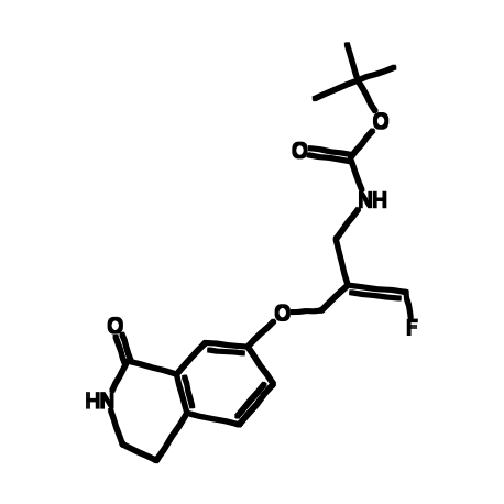 CC(C)(C)OC(=O)NC/C(=C/F)COc1ccc2c(c1)C(=O)NCC2